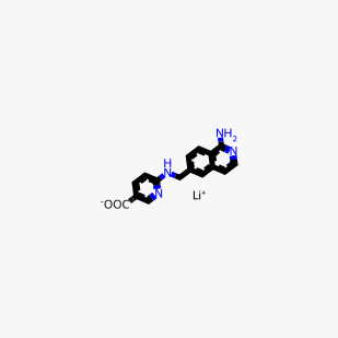 Nc1nccc2cc(CNc3ccc(C(=O)[O-])cn3)ccc12.[Li+]